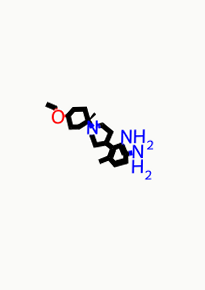 CCO[C@H]1CC[C@](C)(N2CCC(c3c(C)ccc(N)c3N)CC2)CC1